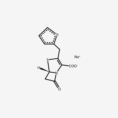 O=C([O-])C1=C(Cc2ccco2)S[C@H]2CC(=O)N12.[Na+]